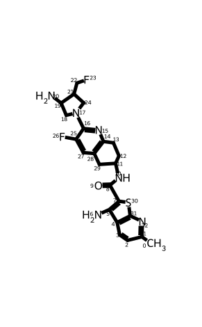 Cc1ccc2c(N)c(C(=O)NC3CCc4nc(N5CC(N)C(CF)C5)c(F)cc4C3)sc2n1